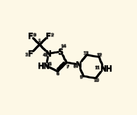 FC(F)(F)N1NC=C(N2CCNCC2)S1